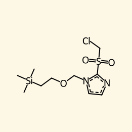 C[Si](C)(C)CCOCn1ccnc1S(=O)(=O)CCl